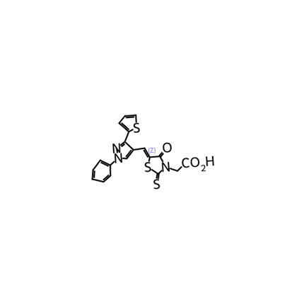 O=C(O)CN1C(=O)/C(=C/c2cn(-c3ccccc3)nc2-c2cccs2)SC1=S